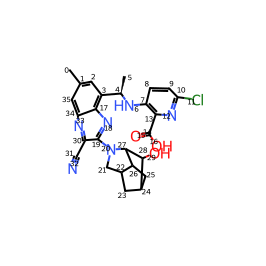 Cc1cc([C@@H](C)Nc2ccc(Cl)nc2C(=O)O)c2nc(N3CC4CC5CC4C3C5O)c(C#N)nc2c1